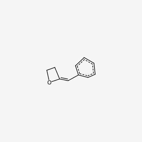 C(=C1CCO1)c1ccccc1